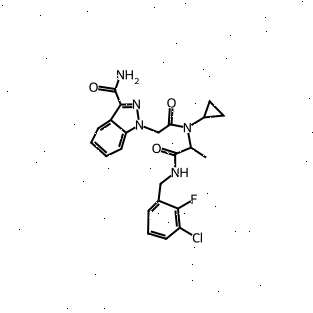 CC(C(=O)NCc1cccc(Cl)c1F)N(C(=O)Cn1nc(C(N)=O)c2ccccc21)C1CC1